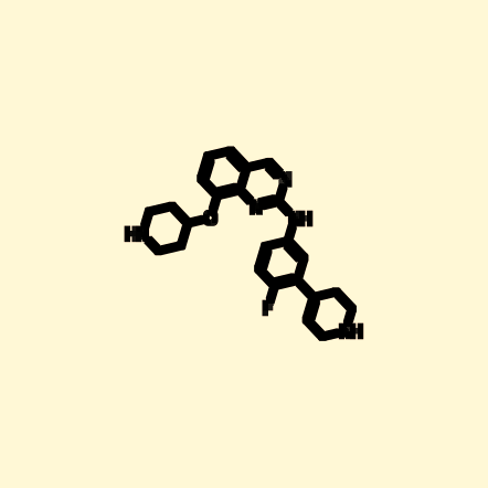 Fc1ccc(Nc2ncc3cccc(OC4CCNCC4)c3n2)cc1C1=CCNCC1